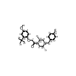 COc1ccc(OCC(=O)N2C[C@@H](C)N(Cc3ccc(F)cc3)C[C@@H]2C)c(C(C)(C)C)c1